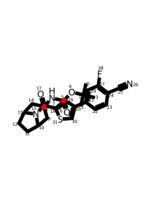 CC(C)(C)OC(=O)NC1CC2CCC(C1)N2C(=O)c1cc(-c2ccc(C#N)c(F)c2)cs1